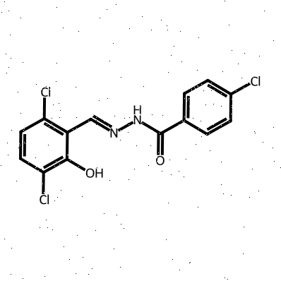 O=C(N/N=C/c1c(Cl)ccc(Cl)c1O)c1ccc(Cl)cc1